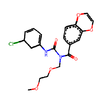 COCCOCN(C(=O)NC1=CC=CC(Cl)C1)C(=O)c1ccc2c(c1)OC=CO2